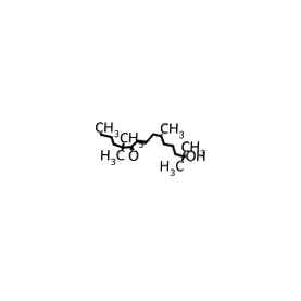 CCCCC(C)(C)C(=O)/C=C/C[C@H](C)CCCC(C)(C)O